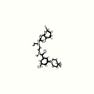 CCN(CCN(C)C(=O)c1cc(Cl)cc(N2CCC(F)(F)CC2)c1)C1=NC2=NC(C)=CC=CC2O1